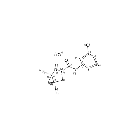 Cl.O=C(Nc1cncc(Cl)n1)[C@@H]1C[C@H]2C[C@H]2N1